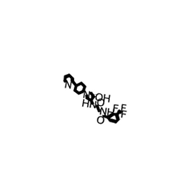 O=C(CNC(=O)c1cccc(C(F)(F)F)c1)NC1CN(C2CCC(c3ccccn3)CC2)C[C@@H]1O